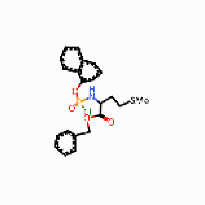 CSCCC(NP(=O)(Cl)Oc1cccc2ccccc12)C(=O)OCc1ccccc1